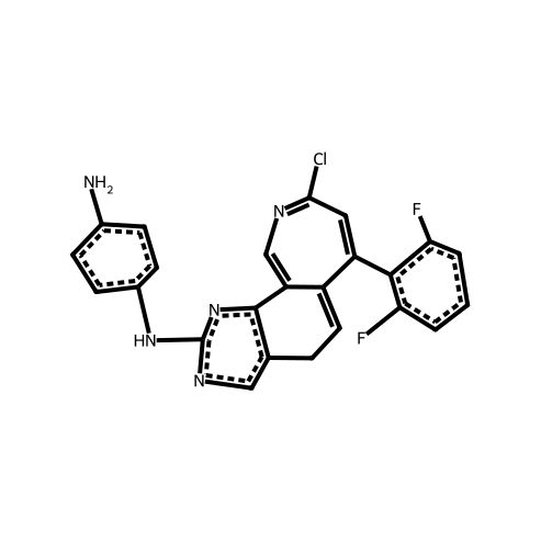 Nc1ccc(Nc2ncc3c(n2)C2=CN=C(Cl)C=C(c4c(F)cccc4F)C2=CC3)cc1